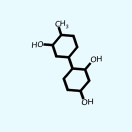 CC1CCC(C2CCC(O)CC2O)CC1O